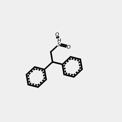 O=[SH](=O)C[C](c1ccccc1)c1ccccc1